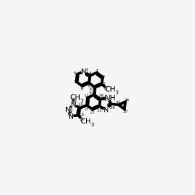 Cc1ccc2ncccc2c1-c1cc(-c2c(C)nnn2C)cc2nc(C3CC3)[nH]c12